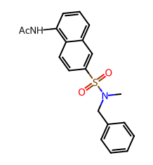 CC(=O)Nc1cccc2cc(S(=O)(=O)N(C)Cc3ccccc3)ccc12